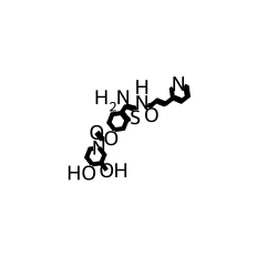 Nc1c(NC(=O)/C=C/c2cccnc2)sc2c1CCC(OC(=O)N1CCC(O)C(O)C1)C2